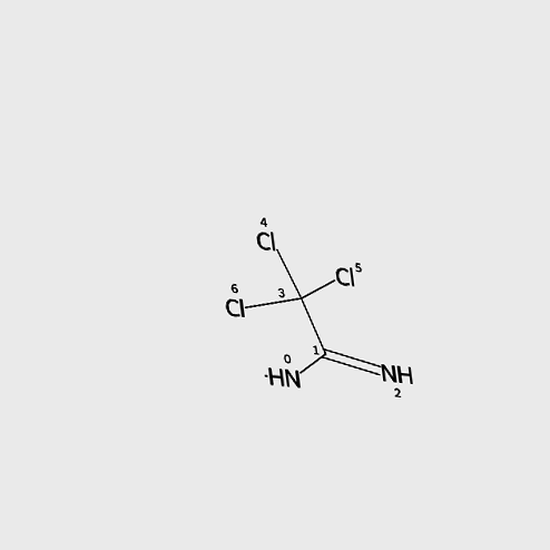 [NH]C(=N)C(Cl)(Cl)Cl